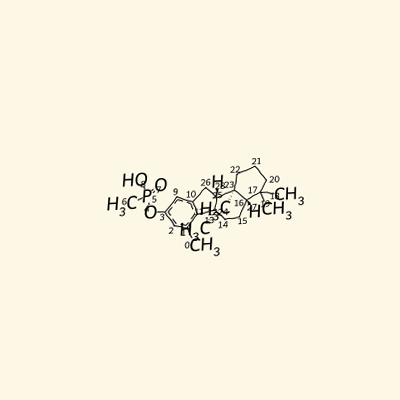 Cc1cc(OP(C)(=O)O)cc2c1[C@]1(C)CC[C@H]3C(C)(C)CCC[C@]3(C)[C@H]1C2